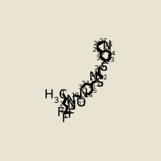 Cc1cc(C(F)(F)F)nn1CC(=O)N1CCC(c2nc(CSc3ccc4ncccc4c3)cs2)CC1